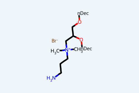 CCCCCCCCCCOCC(C[N+](C)(C)CCCN)OCCCCCCCCCC.[Br-]